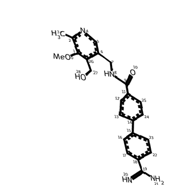 COc1c(C)ncc(CNC(=O)c2ccc(-c3ccc(C(=N)N)cc3)cc2)c1CO